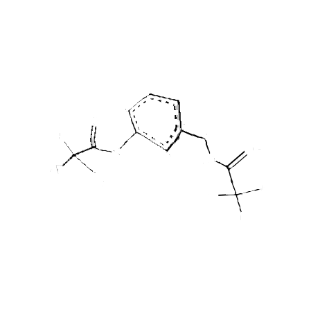 O=C(Nc1cccc(COC(=O)C(F)(F)F)c1)C(F)(F)F